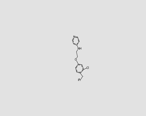 CC(C)[CH]c1ccc(OCCNc2ccncc2)cc1Cl